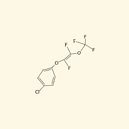 F/C(Oc1ccc(Cl)cc1)=C(/F)OC(F)(F)F